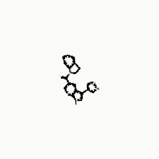 O=C(c1cnc2[nH]cc(-c3cn[nH]c3)c2c1)N1CCc2ccccc21